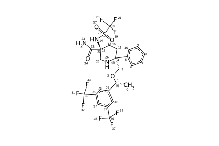 C[C@@H](OC[C@@]1(c2ccccc2)CC[C@@](NS(=O)(=O)C(F)(F)F)(C(N)=O)CN1)c1cc(C(F)(F)F)cc(C(F)(F)F)c1